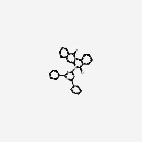 O=c1c2ccccc2n2c(=O)c3ccccc3cc2n1-c1nc(-c2ccccc2)nc(-c2ccccc2)n1